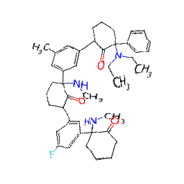 CCN(CC)C1(c2ccccc2)CCCC(c2cc(C)cc(C3(NC)CCCC(c4cc(F)cc(C5(NC)CCCCC5=O)c4)C3=O)c2)C1=O